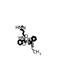 CCCCOC1(c2ccccc2)CN(C(=O)[C@](C)(NC(=O)CCc2c[nH]cn2)C2CCCCC2)C1